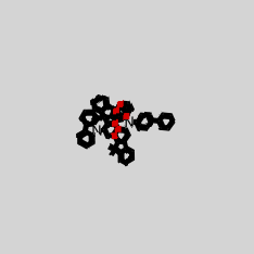 CC1(C)c2ccccc2-c2cc(N(c3ccc(-c4ccccc4)cc3)c3ccccc3-c3cccc4c3C3(c5ccccc5-c5ccccc53)c3cccc5c6ccccc6n-4c35)ccc21